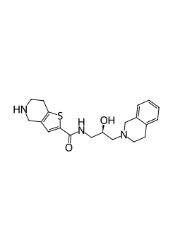 O=C(NC[C@@H](O)CN1CCc2ccccc2C1)c1cc2c(s1)CCNC2